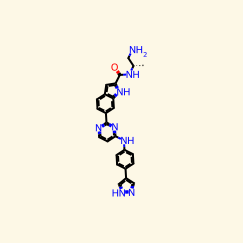 C[C@@H](CN)NC(=O)c1cc2ccc(-c3nccc(Nc4ccc(-c5cn[nH]c5)cc4)n3)cc2[nH]1